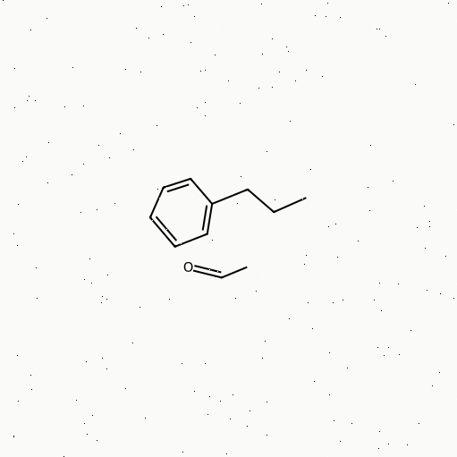 CC=O.CCCc1ccccc1